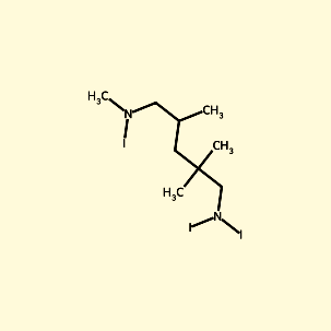 CC(CN(C)I)CC(C)(C)CN(I)I